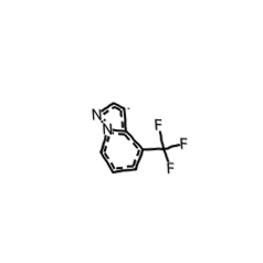 FC(F)(F)c1cccn2nc[c]c12